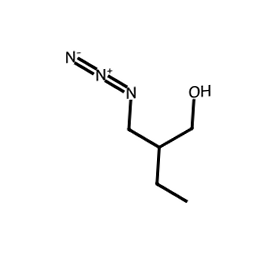 CCC(CO)CN=[N+]=[N-]